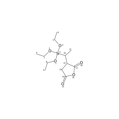 CCO[Si](OCC)(OCC)C(C)C1CC(=O)OC1=O